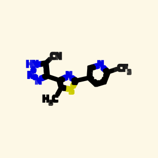 Cc1sc(-c2ccc(C(F)(F)F)nc2)nc1-c1nn[nH]c1C#N